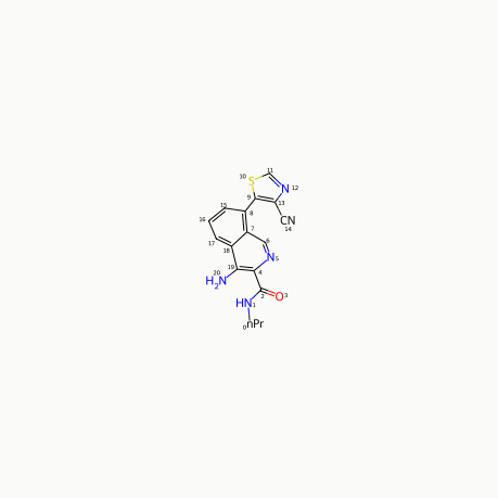 CCCNC(=O)c1ncc2c(-c3scnc3C#N)cccc2c1N